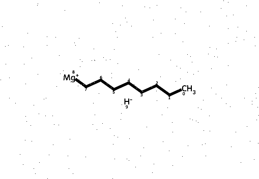 CCCCCCC[CH2][Mg+].[H-]